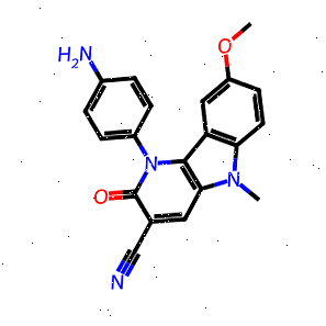 COc1ccc2c(c1)c1c(cc(C#N)c(=O)n1-c1ccc(N)cc1)n2C